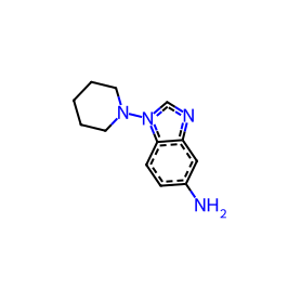 Nc1ccc2c(c1)ncn2N1CCCCC1